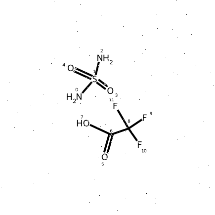 NS(N)(=O)=O.O=C(O)C(F)(F)F